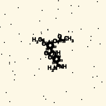 CCOc1cc(OCC(=O)CC)cc([C@@H](Nc2ccc(C(=N)N)cc2)C(=O)O)c1